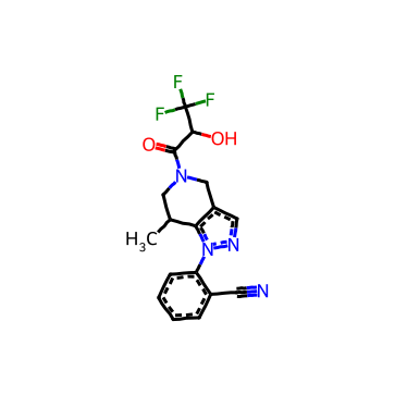 CC1CN(C(=O)C(O)C(F)(F)F)Cc2cnn(-c3ccccc3C#N)c21